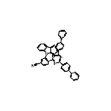 N#Cc1ccc(-c2nc(-c3ccc(-c4ccccc4)cc3)nc(-c3ccc(-c4ccccc4)cc3)n2)c(-n2c3ccccc3c3ccccc32)c1